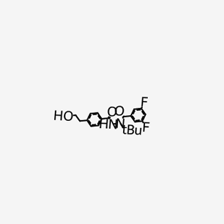 CC(C)(C)N(NC(=O)c1ccc(CCO)cc1)C(=O)c1cc(F)cc(F)c1